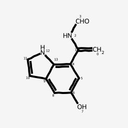 C=C(NC=O)c1cc(O)cc2cc[nH]c12